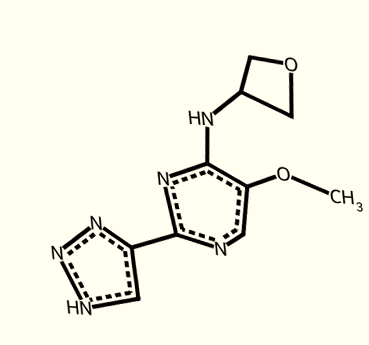 COc1cnc(-c2c[nH]nn2)nc1NC1COC1